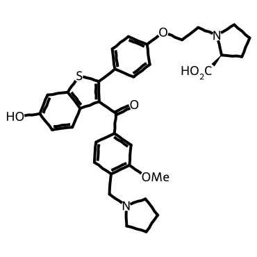 COc1cc(C(=O)c2c(-c3ccc(OCCN4CCC[C@H]4C(=O)O)cc3)sc3cc(O)ccc23)ccc1CN1CCCC1